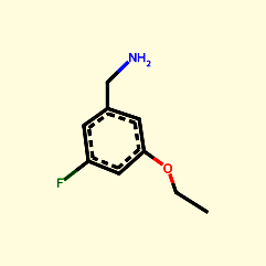 CCOc1cc(F)cc(CN)c1